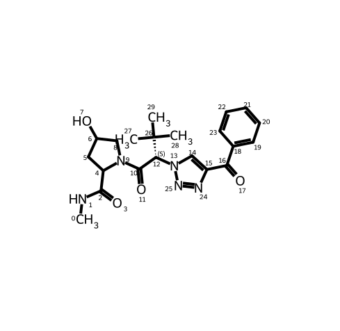 CNC(=O)C1CC(O)CN1C(=O)[C@@H](n1cc(C(=O)c2ccccc2)nn1)C(C)(C)C